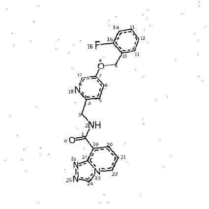 O=C(NCc1ccc(OCc2ccccc2F)cn1)c1cccn2cnnc12